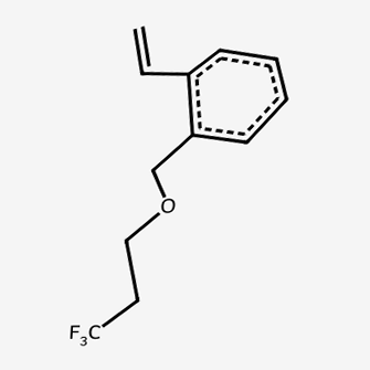 C=Cc1ccccc1COCCC(F)(F)F